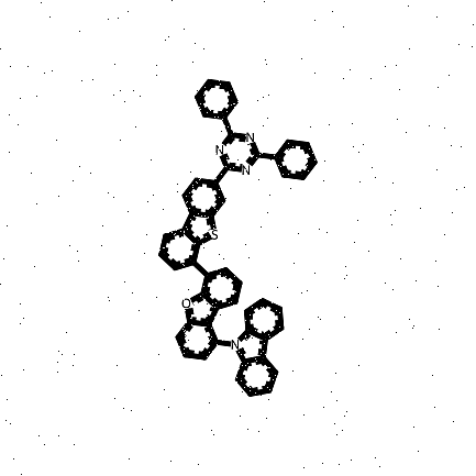 c1ccc(-c2nc(-c3ccccc3)nc(-c3ccc4c(c3)sc3c(-c5cccc6c5oc5cccc(-n7c8ccccc8c8ccccc87)c56)cccc34)n2)cc1